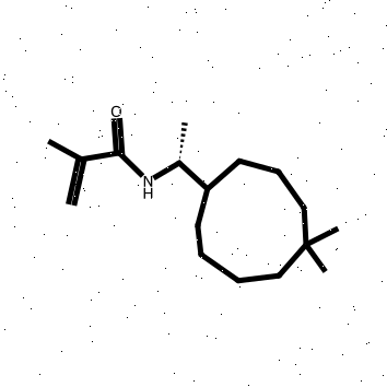 C=C(C)C(=O)N[C@H](C)C1CCCCC(C)(C)CCC1